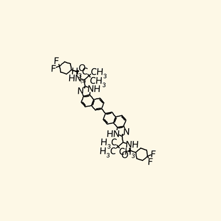 CC(C)(C)C(NC(=O)C1CCC(F)(F)CC1)c1nc2ccc3cc(-c4ccc5c(ccc6nc([C@@H](NC(=O)C7CCC(F)(F)CC7)C(C)(C)C)[nH]c65)c4)ccc3c2[nH]1